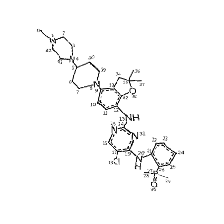 CN1CCN(C2CCN(c3ccc(Nc4ncc(Cl)c(Nc5ccccc5P(C)(C)=O)n4)c4c3CC(C)(C)O4)CC2)CC1